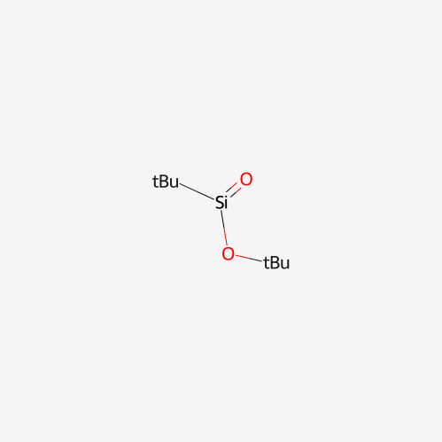 CC(C)(C)O[Si](=O)C(C)(C)C